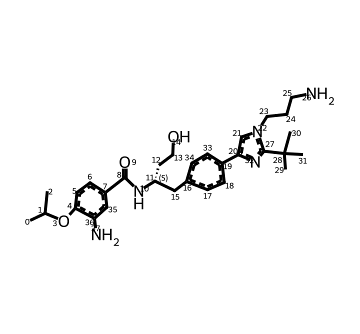 CC(C)Oc1ccc(C(=O)N[C@H](CCO)Cc2ccc(-c3cn(CCCN)c(C(C)(C)C)n3)cc2)cc1N